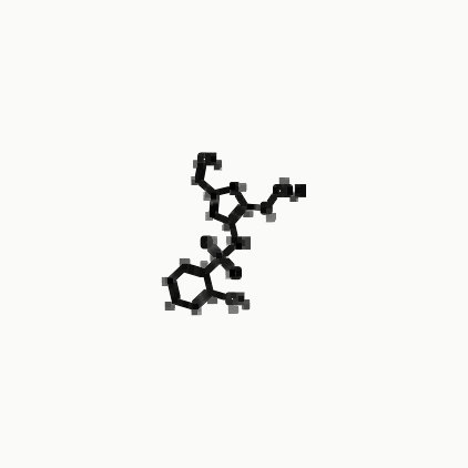 C=Cc1cc(NS(=O)(=O)c2ccccc2C)c(OC(=O)O)s1